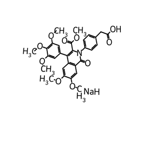 COC(=O)c1c(-c2cc(OC)c(OC)c(OC)c2)c2cc(OC)c(OC)cc2c(=O)n1-c1ccc(CC(=O)O)cc1.[NaH]